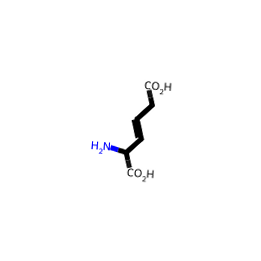 NC(C=CCC(=O)O)C(=O)O